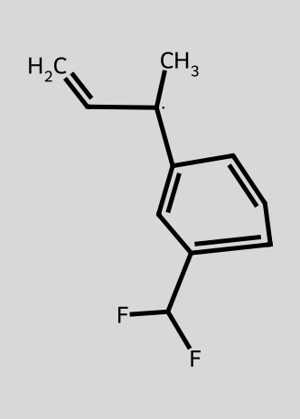 C=C[C](C)c1cccc(C(F)F)c1